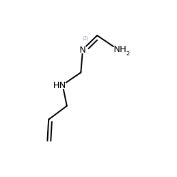 C=CCNC/N=C\N